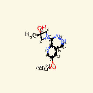 CCCCOc1cnc2c(N3CC(C)(O)C3)nncc2c1